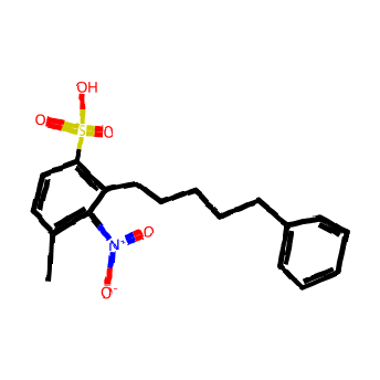 Cc1ccc(S(=O)(=O)O)c(CCCCCc2ccccc2)c1[N+](=O)[O-]